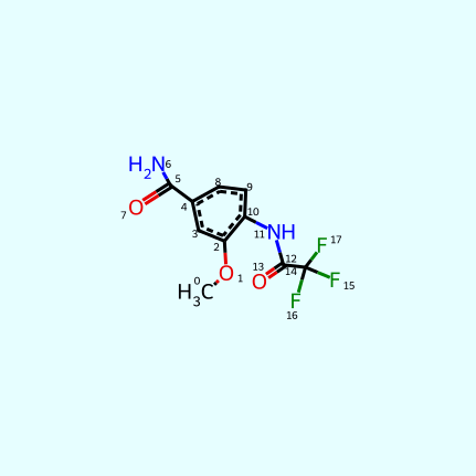 COc1cc(C(N)=O)ccc1NC(=O)C(F)(F)F